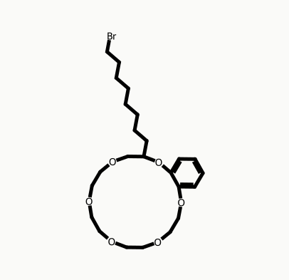 BrCCCCCCCCC1COCCOCCOCCOCCOc2ccccc2O1